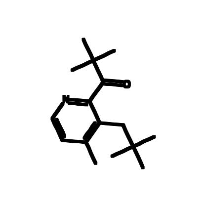 Cc1ccnc(C(=O)C(C)(C)C)c1CC(C)(C)C